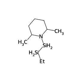 CC[SiH2][SiH2]N1C(C)CCCC1C